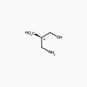 NC[C@H](CO)C(=O)O